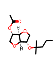 CCCC(C)(C)O[C@H]1CO[C@H]2[C@@H]1OC[C@@H]2OC(C)=O